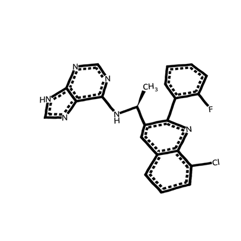 C[C@H](Nc1ncnc2[nH]cnc12)c1cc2cccc(Cl)c2nc1-c1ccccc1F